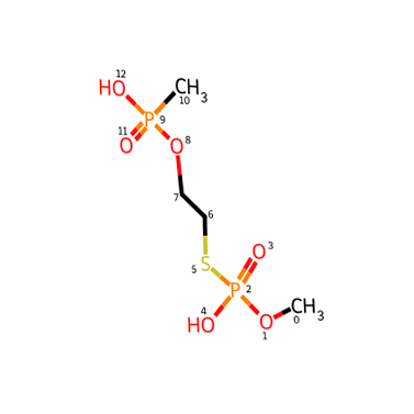 COP(=O)(O)SCCOP(C)(=O)O